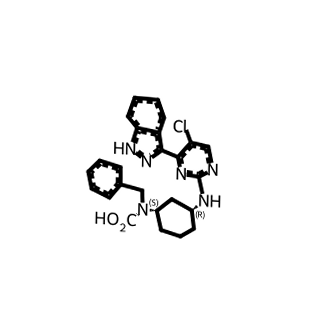 O=C(O)N(Cc1ccccc1)[C@H]1CCC[C@@H](Nc2ncc(Cl)c(-c3n[nH]c4ccccc34)n2)C1